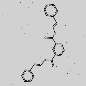 O=C(OC=Cc1ccccc1)c1cccc(C(=O)OC=Cc2ccccc2)c1